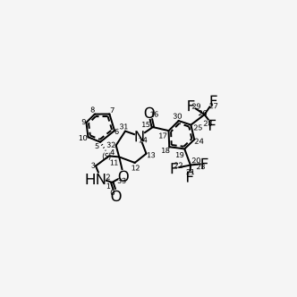 O=C1NC[C@H](c2ccccc2)C2(CCN(C(=O)c3cc(C(F)(F)F)cc(C(F)(F)F)c3)CC2)O1